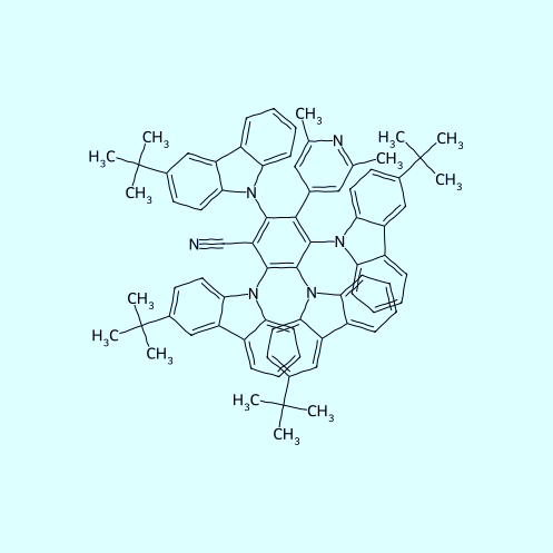 Cc1cc(-c2c(-n3c4ccccc4c4cc(C(C)(C)C)ccc43)c(C#N)c(-n3c4ccccc4c4cc(C(C)(C)C)ccc43)c(-n3c4ccccc4c4cc(C(C)(C)C)ccc43)c2-n2c3ccccc3c3cc(C(C)(C)C)ccc32)cc(C)n1